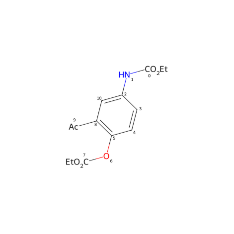 CCOC(=O)Nc1ccc(OC(=O)OCC)c(C(C)=O)c1